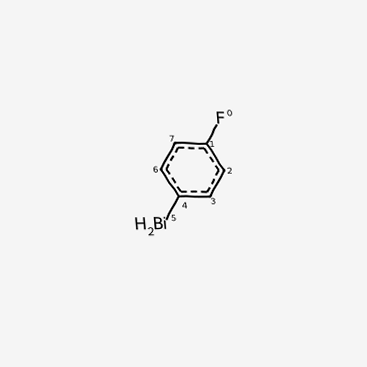 Fc1cc[c]([BiH2])cc1